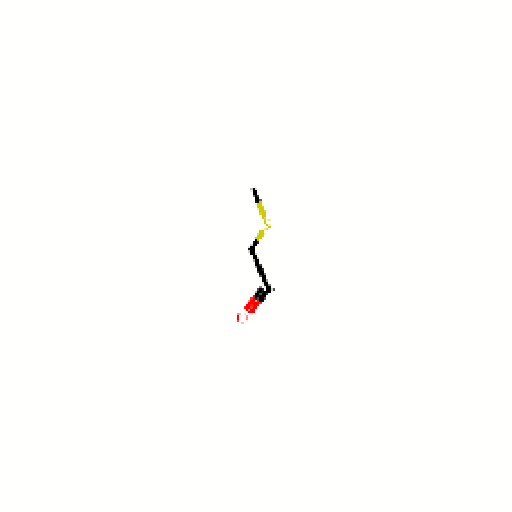 CSC[C]=O